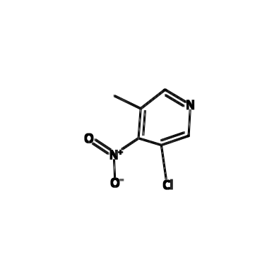 Cc1cncc(Cl)c1[N+](=O)[O-]